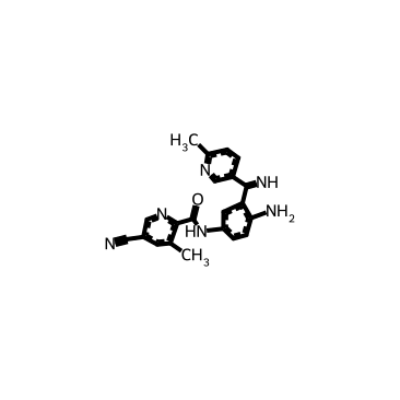 Cc1ccc(C(=N)c2cc(NC(=O)c3ncc(C#N)cc3C)ccc2N)cn1